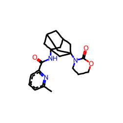 Cc1cccc(C(=O)NC23CC4CC(C2)CC(N2CCCOC2=O)(C4)C3)n1